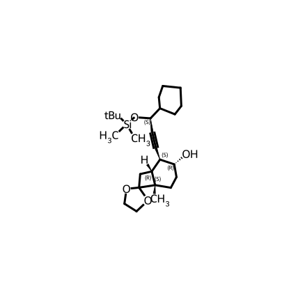 CC(C)(C)[Si](C)(C)O[C@H](C#C[C@H]1[C@H](O)CC[C@@]2(C)[C@@H]1CC21OCCO1)C1CCCCC1